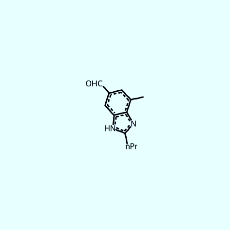 CCCc1nc2c(C)cc(C=O)cc2[nH]1